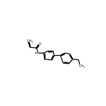 C=CC(=O)Nc1ccc(-c2ccc(CC)cc2)cc1